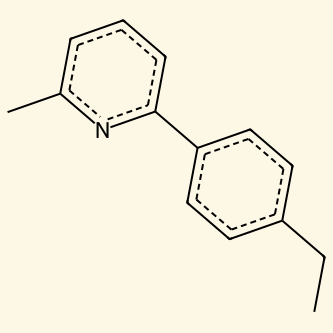 CCc1ccc(-c2cccc(C)n2)cc1